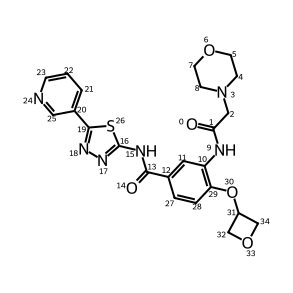 O=C(CN1CCOCC1)Nc1cc(C(=O)Nc2nnc(-c3cccnc3)s2)ccc1OC1COC1